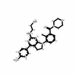 Cc1c(C(=O)N2CCOCC2)cccc1N1CCc2c(-c3cnc(N)nc3)nc(NCCO)nc21